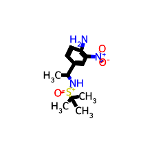 CC(N[S@@+]([O-])C(C)(C)C)c1ccc(N)c([N+](=O)[O-])c1